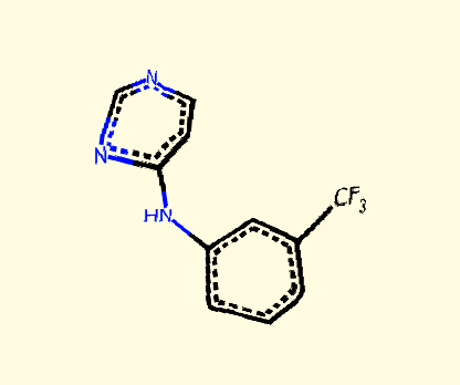 FC(F)(F)c1cccc(Nc2ccncn2)c1